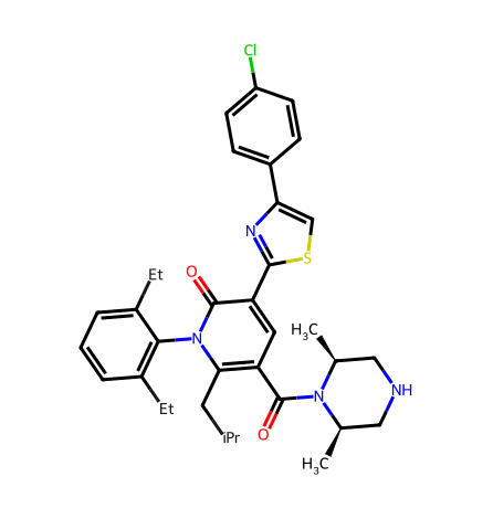 CCc1cccc(CC)c1-n1c(CC(C)C)c(C(=O)N2[C@H](C)CNC[C@@H]2C)cc(-c2nc(-c3ccc(Cl)cc3)cs2)c1=O